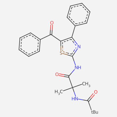 CC(C)(C)C(=O)NC(C)(C)C(=O)Nc1nc(-c2ccccc2)c(C(=O)c2ccccc2)s1